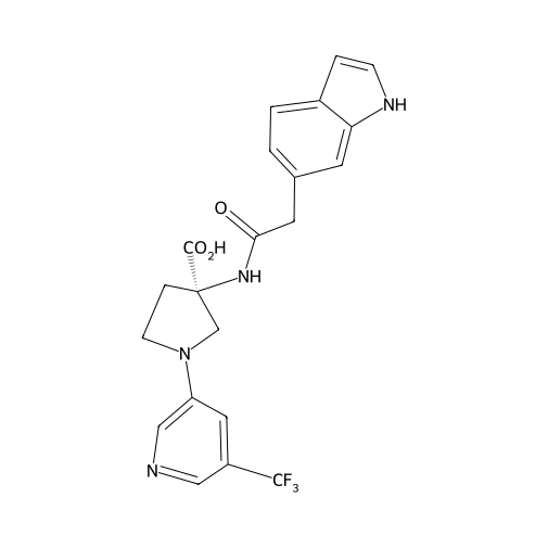 O=C(Cc1ccc2cc[nH]c2c1)N[C@]1(C(=O)O)CCN(c2cncc(C(F)(F)F)c2)C1